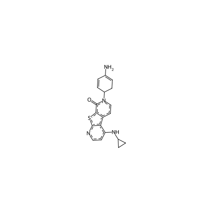 NC1=CCC(n2ccc3c(sc4nccc(NC5CC5)c43)c2=O)C=C1